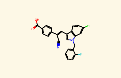 N#C/C(=C\c1cn(Cc2ccccc2F)c2cc(Cl)ccc12)c1ccc(C(=O)O)cc1